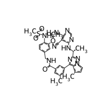 COc1cc(CNC(=O)c2cc(C)cc(-c3nc([C@H](C)Nc4ncnc(N)c4C#N)nn4ccc(C)c34)c2)ccc1NS(C)(=O)=O